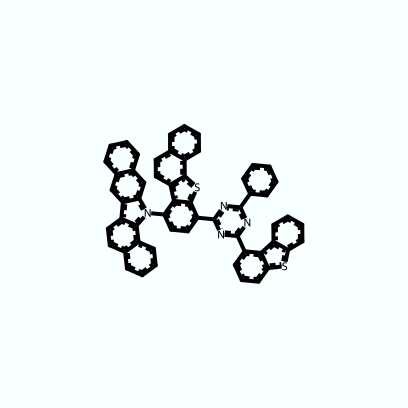 c1ccc(-c2nc(-c3ccc(-n4c5cc6ccccc6cc5c5ccc6ccccc6c54)c4c3sc3c5ccccc5ccc34)nc(-c3cccc4sc5ccccc5c34)n2)cc1